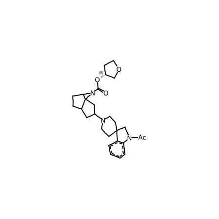 CC(=O)N1CC2(CCN(C3CC4CCC5N(C(=O)O[C@@H]6CCOC6)C45C3)CC2)c2ccccc21